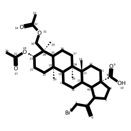 C=C(CBr)C1CC[C@]2(C(=O)O)CC[C@]3(C)C(CCC4[C@@]5(C)CC[C@H](OC(C)=O)[C@@](C)(COC(C)=O)C5CC[C@]43C)C12